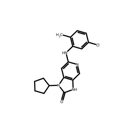 Cc1ccc(Cl)cc1Nc1cc2c(cn1)[nH]c(=O)n2C1CCCC1